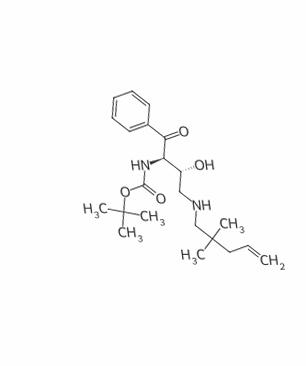 C=CCC(C)(C)CNC[C@@H](O)[C@@H](NC(=O)OC(C)(C)C)C(=O)c1ccccc1